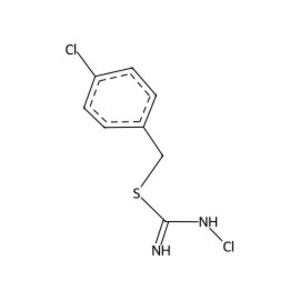 N=C(NCl)SCc1ccc(Cl)cc1